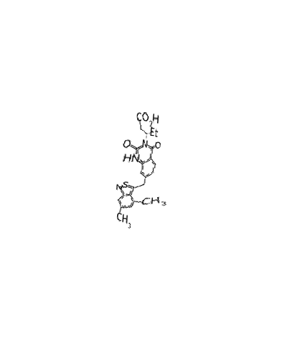 CC[C@@H](CC(=O)O)n1c(=O)[nH]c2cc(Cc3snc4cc(C)cc(C)c34)ccc2c1=O